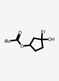 CCC(C)C(=O)OC1CCC(O)(CC)C1